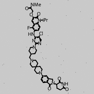 CNC(=O)COc1cc2c(F)c(Nc3nc(N4CCC(CN5CCC6(CC5)CCN(c5ccc7c(c5)CN(C5CCC(=O)NC5=O)C7=O)CC6)CC4)ncc3Cl)ccc2n(C(C)C)c1=O